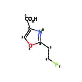 O=C(O)c1coc(CCF)n1